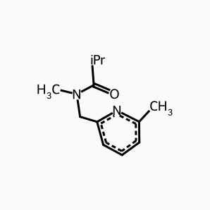 Cc1cccc(CN(C)C(=O)C(C)C)n1